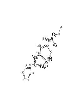 CCOC(=O)Nc1cnc2[nH]c(-c3ccccc3)nc2c1